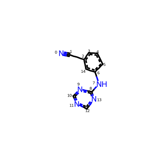 N#Cc1cccc(Nc2ncncn2)c1